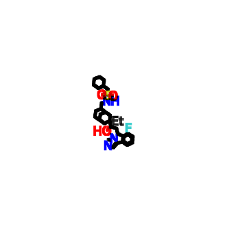 CCC1(C(O)CC2c3c(F)cccc3-c3cncn32)CC2CCC(CNS(=O)(=O)CC3CCCCC3)C(C2)C1